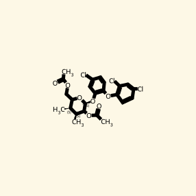 CC(=O)OCC1O[C@@H](Oc2cc(Cl)ccc2Oc2ccc(Cl)cc2Cl)C(OC(C)=O)[C@@H](C)[C@@H]1C